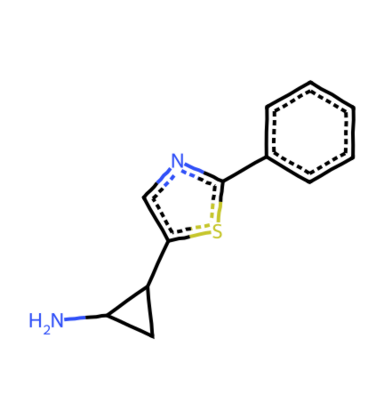 NC1CC1c1cnc(-c2ccccc2)s1